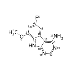 COc1cc(F)cc2c1[nH]c1ncnc(N)c12